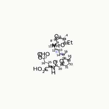 CC[C@H](OC)[C@@H](C)[C@H]1O[C@]1(C)C[C@H](C)/C=C/C=C(\C)[C@H]1O[C@@H](CC(=O)N[C@@H](CCCOC=O)C(=O)O)CC[C@@H]1C